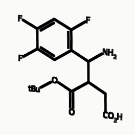 CC(C)(C)OC(=O)C(CC(=O)O)C(N)c1cc(F)c(F)cc1F